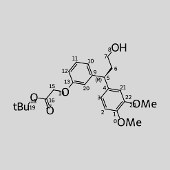 COc1ccc([C@H](CCO)c2cccc(OCC(=O)OC(C)(C)C)c2)cc1OC